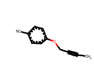 CC#CCOc1ccc(C#N)cc1